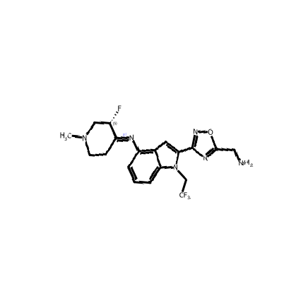 CN1CC/C(=N\c2cccc3c2cc(-c2noc(CN)n2)n3CC(F)(F)F)[C@@H](F)C1